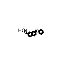 ON=CC1=Cc2cc(Oc3ccccc3)ccc2CC1